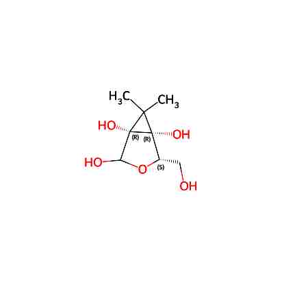 CC1(C)[C@]2(O)C(O)O[C@@H](CO)[C@]12O